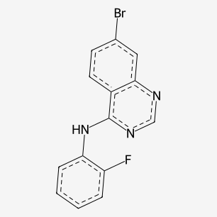 Fc1ccccc1Nc1ncnc2cc(Br)ccc12